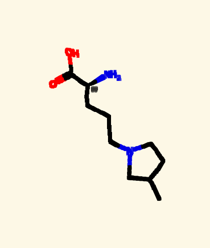 CC1CCN(CCC[C@H](N)C(=O)O)C1